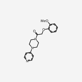 COc1ccccc1OCC(=O)N1CCN(c2ccncc2)CC1